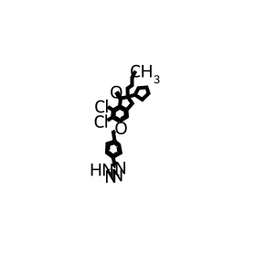 CCCCC1(C2CCCC2)Cc2cc(OCc3ccc(-c4nnn[nH]4)cc3)c(Cl)c(Cl)c2C1=O